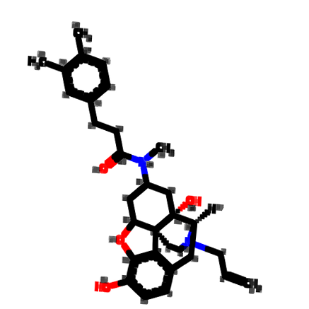 C=CCN1CC[C@]23c4c5ccc(O)c4OC2CC(N(C)C(=O)CCc2ccc(C)c(C)c2)C[C@@]3(O)[C@H]1C5